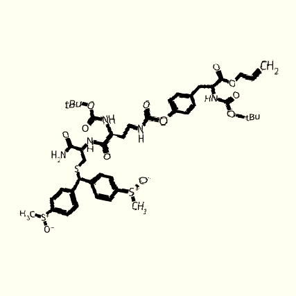 C=CCOC(=O)C(Cc1ccc(OC(=O)NCC[C@H](NC(=O)OC(C)(C)C)C(=O)NC(CSC(c2ccc([S+](C)[O-])cc2)c2ccc([S+](C)[O-])cc2)C(N)=O)cc1)NC(=O)OC(C)(C)C